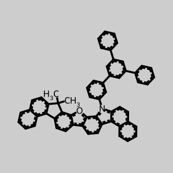 CC1(C)c2ccc3ccccc3c2-c2ccc3c(oc4c3ccc3c5c6ccccc6ccc5n(-c5cccc(-c6cc(-c7ccccc7)cc(-c7ccccc7)c6)c5)c34)c21